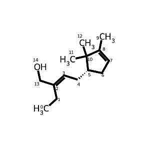 CC/C(=C\C[C@H]1CC=C(C)C1(C)C)CO